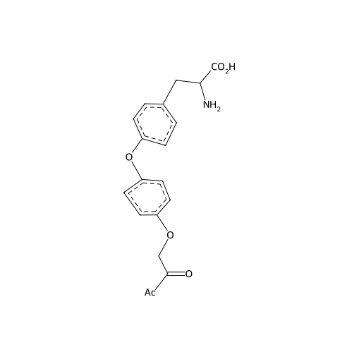 CC(=O)C(=O)COc1ccc(Oc2ccc(CC(N)C(=O)O)cc2)cc1